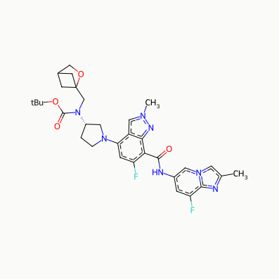 Cc1cn2cc(NC(=O)c3c(F)cc(N4CC[C@H](N(CC56CC(CO5)C6)C(=O)OC(C)(C)C)C4)c4cn(C)nc34)cc(F)c2n1